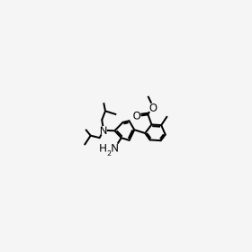 COC(=O)c1c(C)cccc1-c1ccc(N(CC(C)C)CC(C)C)c(N)c1